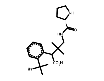 CC(C)C(C)(C)c1ccccc1C(C(=O)O)C(C)(C)CNC(=O)[C@@H]1CCCN1